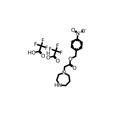 O=C(CN1CCCNCC1)OCc1ccc([N+](=O)[O-])cc1.O=C(O)C(F)(F)F.O=C(O)C(F)(F)F